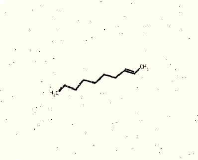 CC=CC[CH]CCCCC